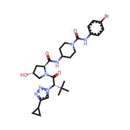 CC(C)(C)[C@@H](C(=O)N1C[C@H](O)C[C@H]1C(=O)NC1CCN(C(=O)Nc2ccc(Br)cc2)CC1)n1cc(C2CC2)nn1